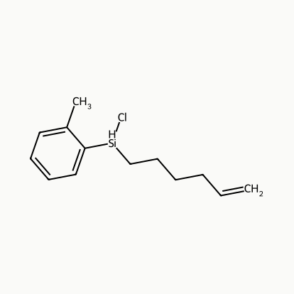 C=CCCCC[SiH](Cl)c1ccccc1C